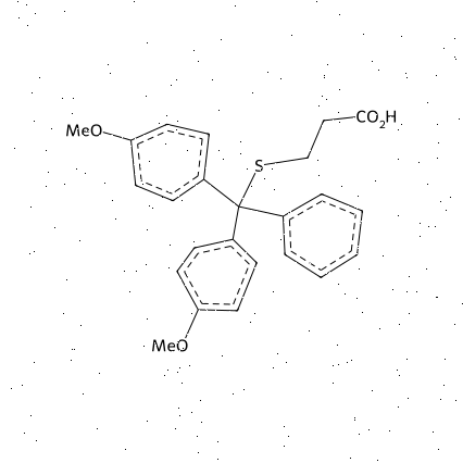 COc1ccc(C(SCCC(=O)O)(c2ccccc2)c2ccc(OC)cc2)cc1